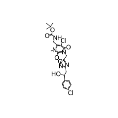 Cn1c(CNC(=O)OC(C)(C)C)c(Cl)c(=O)n(Cc2nc(CC(O)c3ccc(Cl)cc3)no2)c1=O